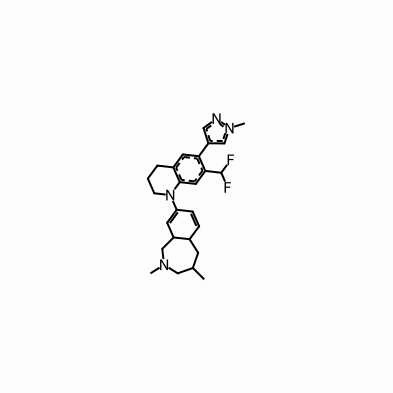 CC1CC2C=CC(N3CCCc4cc(-c5cnn(C)c5)c(C(F)F)cc43)=CC2CN(C)C1